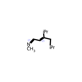 C/N=C\C=C(\CC(C)C)C(C)C